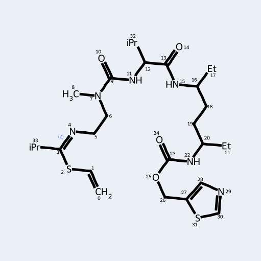 C=CS/C(=N\CCN(C)C(=O)NC(C(=O)NC(CC)CCC(CC)NC(=O)OCc1cncs1)C(C)C)C(C)C